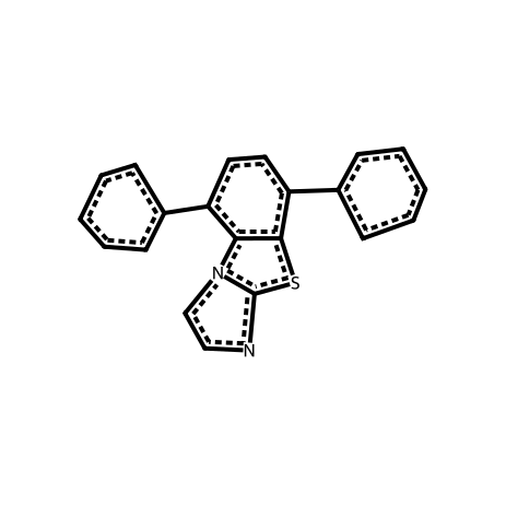 c1ccc(-c2ccc(-c3ccccc3)c3c2sc2nccn23)cc1